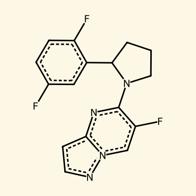 Fc1ccc(F)c(C2CCCN2c2nc3ccnn3cc2F)c1